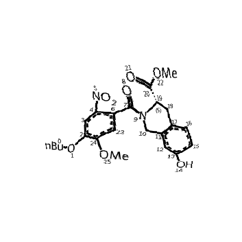 CCCCOc1cc([N+](=O)[O-])c(C(=O)N2Cc3cc(O)ccc3C[C@H]2C(=O)OC)cc1OC